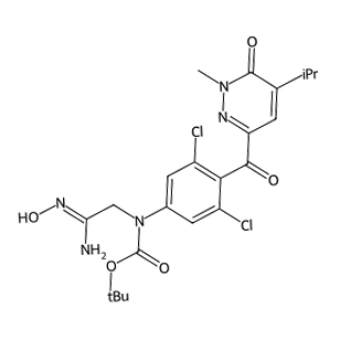 CC(C)c1cc(C(=O)c2c(Cl)cc(N(C/C(N)=N/O)C(=O)OC(C)(C)C)cc2Cl)nn(C)c1=O